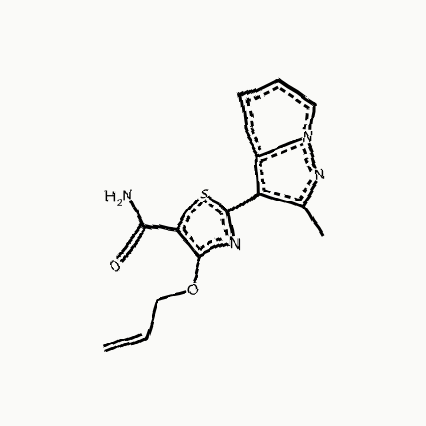 C=CCOc1nc(-c2c(C)nn3ccccc23)sc1C(N)=O